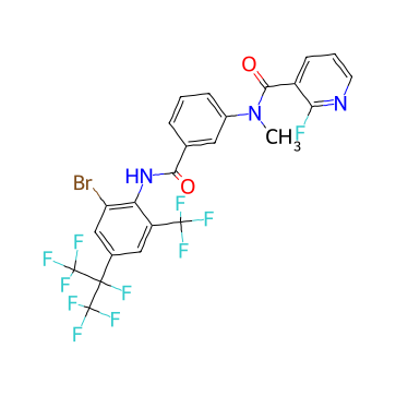 CN(C(=O)c1cccnc1F)c1cccc(C(=O)Nc2c(Br)cc(C(F)(C(F)(F)F)C(F)(F)F)cc2C(F)(F)F)c1